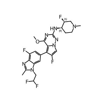 COc1nc(N[C@@H]2CCN(C)C[C@@H]2F)nn2cc(F)c(-c3cc(F)c4nc(C)n(CC(F)F)c4c3)c12